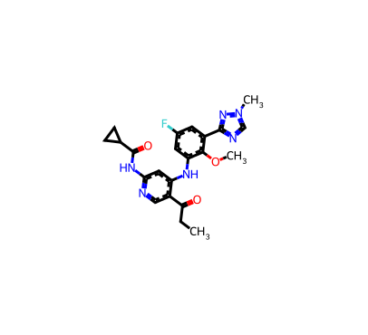 CCC(=O)c1cnc(NC(=O)C2CC2)cc1Nc1cc(F)cc(-c2ncn(C)n2)c1OC